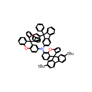 CC(C)(C)c1ccc2c(c1)C1(c3ccccc3Oc3c(N(c4ccc5c(c4)C4(c6ccccc6O5)c5ccccc5-c5ccccc54)c4ccc5c(c4)C(c4ccccc4)(c4ccccc4)c4ccccc4-5)cccc31)c1cc(C(C)(C)C)ccc1-2